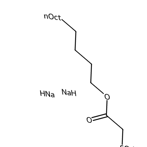 CCCCCCCCCCCCOC(=O)CS(=O)(=O)O.[NaH].[NaH]